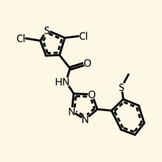 CSc1ccccc1-c1nnc(NC(=O)c2cc(Cl)sc2Cl)o1